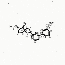 CN1CC[C@]2(CC[C@@H](c3nccc(-c4cccc(OC(F)(F)F)c4)n3)N2)C1=O